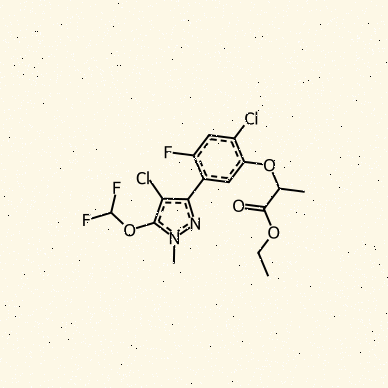 CCOC(=O)C(C)Oc1cc(-c2nn(C)c(OC(F)F)c2Cl)c(F)cc1Cl